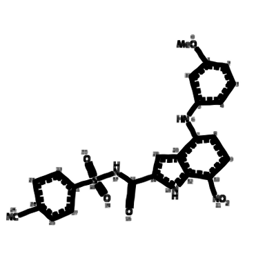 COc1cccc(Nc2ccc([N+](=O)[O-])c3[nH]c(C(=O)NS(=O)(=O)c4ccc(C#N)cc4)cc23)c1